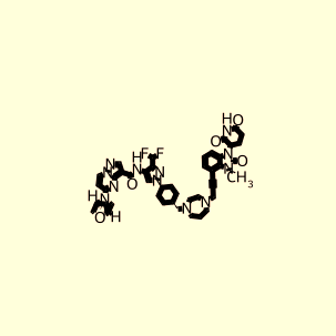 Cn1c(=O)n(C2CCC(=O)NC2=O)c2cccc(C#CCN3CCCN(C[C@H]4CC[C@H](n5cc(NC(=O)c6cnn7ccc(N8C[C@H]9C[C@@H]8CO9)nc67)c(C(F)F)n5)CC4)CC3)c21